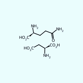 NC(=O)CC[C@H](N)C(=O)O.N[C@@H](CC(=O)O)C(=O)O